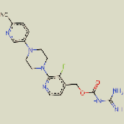 N#Cc1ccc(N2CCN(c3nccc(COC(=O)NC(=N)N)c3F)CC2)cn1